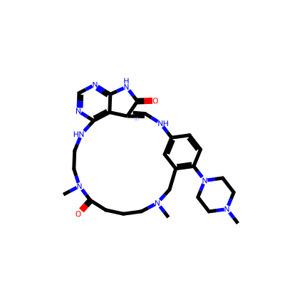 CN1CCN(c2ccc3cc2CN(C)CCCC(=O)N(C)CCNc2ncnc4c2/C(=C/N3)C(=O)N4)CC1